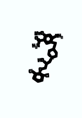 COc1cc(N)c(CC2CCN(CC(O)COc3c(Cl)cccc3Cl)CC2)cc1C(N)=O